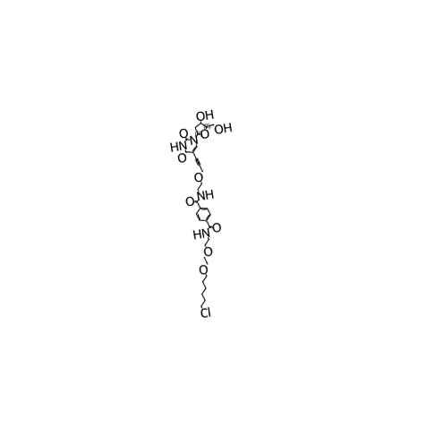 O=C(NCCOCC#Cc1cn([C@H]2CC(O)[C@@H](CO)O2)c(=O)[nH]c1=O)c1ccc(C(=O)NCCOCCOCCCCCCCl)cc1